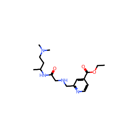 CCOC(=O)c1ccnc(CNCC(=O)NC(C)CCN(C)C)c1